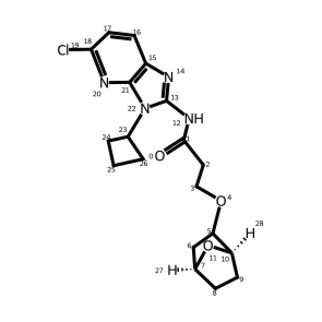 O=C(CCOC1C[C@@H]2CC[C@H]1O2)Nc1nc2ccc(Cl)nc2n1C1CCC1